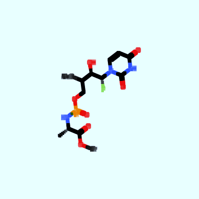 COC(CO[PH](=O)N[C@@H](C)C(=O)OC(C)C)[C@@H](O)[C@@H](F)n1ccc(=O)[nH]c1=O